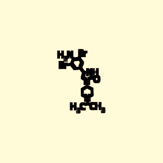 CC(C)N1CCC(n2cc(-c3cc(Br)c(N)c(Br)c3)[nH]c2=O)CC1